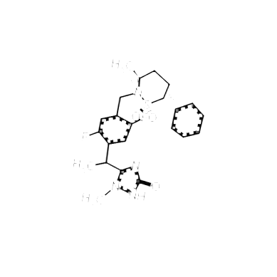 CC(c1cc(F)c(CN2[C@@H](C)CC[C@H](c3ccccc3)S2(=O)=O)cc1F)c1nc(=O)[nH]n1C